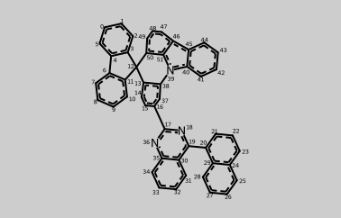 c1ccc2c(c1)-c1ccccc1C21c2ccc(-c3nc(-c4cccc5ccccc45)c4ccccc4n3)cc2-n2c3ccccc3c3cccc1c32